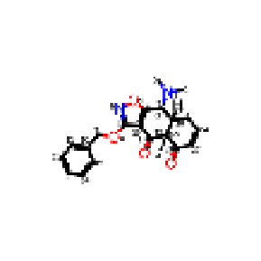 CN(C)[C@@H]1c2onc(OCc3ccccc3)c2C(=O)[C@@]2(C)C(=O)C=CC[C@@H]12